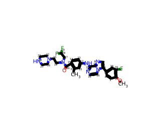 COc1ccc(-c2cnc3c(Nc4ccc(C(=O)N(CCN5CCNCC5)CC(F)F)c(C)c4)nccn23)cc1F